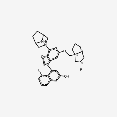 Oc1cc(-c2noc3c(N4CC5CCC(C4)N5)nc(OC[C@@]45CCCN4C[C@H](F)C5)cc23)c2c(F)cccc2c1